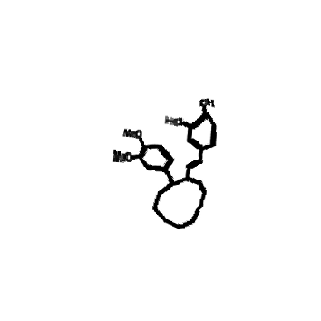 COc1ccc(C2CCCCCCCCC2/C=C/c2ccc(O)c(O)c2)cc1OC